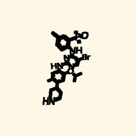 Cc1ccc(Nc2nc(Nc3cc(C)c(C4CCNCC4)cc3OC(C)C)ncc2Br)c(P(C)(C)=O)c1